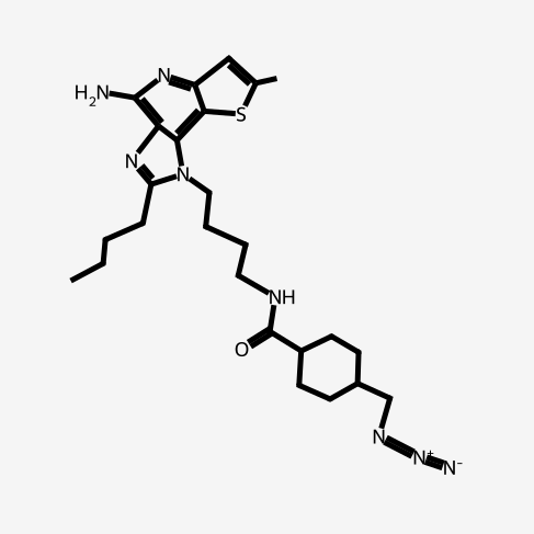 CCCCc1nc2c(N)nc3cc(C)sc3c2n1CCCCNC(=O)C1CCC(CN=[N+]=[N-])CC1